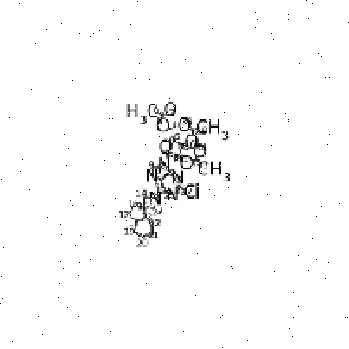 CC(=O)OC[C@H]1O[C@@H](n2cnc3c(N4CC5(CCc6ccccc65)C4)nc(Cl)nc32)[C@H](OC(C)=O)[C@@H]1OC(C)=O